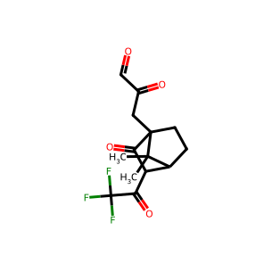 CC1(C)C2CCC1(CC(=O)C=O)C(=O)C2C(=O)C(F)(F)F